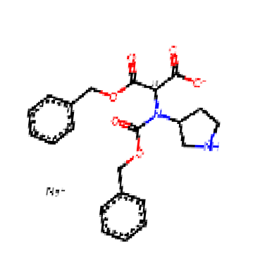 O=C([O-])[C@H](C(=O)OCc1ccccc1)N(C(=O)OCc1ccccc1)C1CCNC1.[Na+]